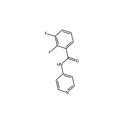 O=C(Nc1ccncc1)c1cccc(F)c1F